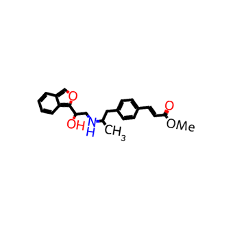 COC(=O)C=Cc1ccc(CC(C)NCC(O)c2occ3ccccc23)cc1